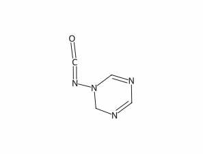 O=C=NN1C=NC=NC1